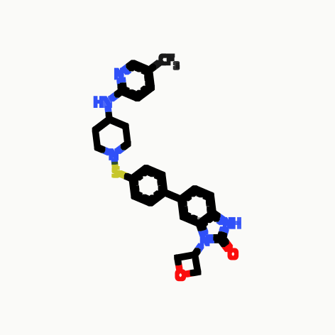 O=c1[nH]c2ccc(-c3ccc(SN4CCC(Nc5ccc(C(F)(F)F)cn5)CC4)cc3)cc2n1C1COC1